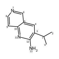 CC(C)c1cc2cnccc2nc1N